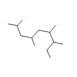 CCC(O)CC(C)CC(C(C)CC)C(C)CO